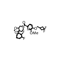 COc1nc(C(=O)N2CCC3(c4cccc(F)c4F)OCOC3C2)ccc1OCC1CC(F)(F)C1